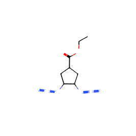 CCOC(=O)C1CC(N=[N+]=[N-])C(N=[N+]=[N-])C1